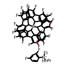 CCC[NH+](CC)c1ccc(F)cc1F.Fc1cc2c(c(F)c1F)-c1c(F)c(F)c(F)c(F)c1C2[B-](C1c2cc(F)c(F)c(F)c2-c2c(F)c(F)c(F)c(F)c21)(C1c2cc(F)c(F)c(F)c2-c2c(F)c(F)c(F)c(F)c21)C1c2cc(F)c(F)c(F)c2-c2c(F)c(F)c(F)c(F)c21